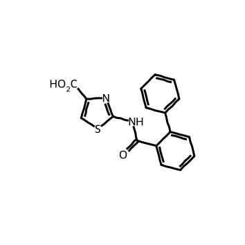 O=C(O)c1csc(NC(=O)c2ccccc2-c2ccccc2)n1